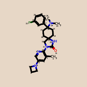 Cc1cc(N2CCC2)cnc1N1CC2(CCC(c3cccc(F)c3)(N(C)C)CC2)NC1=O